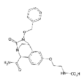 NC(=O)C1c2ccc(OCCNC(=O)O)cc2C2CN1C(=O)N2OCc1ccccc1